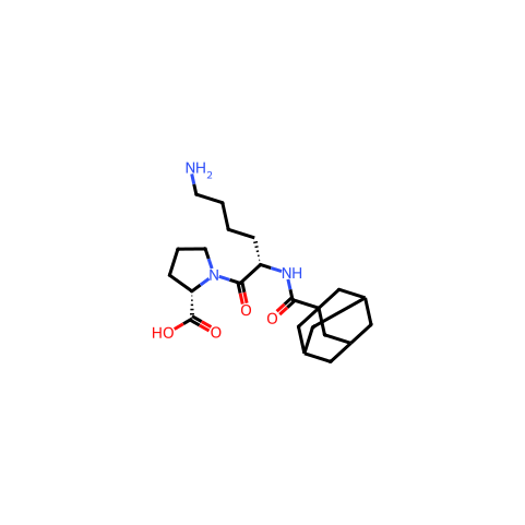 NCCCC[C@H](NC(=O)C12CC3CC(CC(C3)C1)C2)C(=O)N1CCC[C@H]1C(=O)O